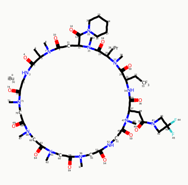 CC[C@H](C)C1NC(=O)C(C)N(C)C(=O)CC(C(=O)N2CCCCC2)N(C)C(=O)C(C(C)C)N(C)C(=O)C(CC(F)(F)F)NC(=O)C(CC(=O)N2CC(F)(F)C2)N(C)C(=O)CNC(=O)CN(C)C(=O)CN(C)C(=O)CN(C)C(=O)CN(C)C1=O